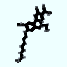 COc1cc2c(cc1OCCCCCN=NN)CN(CC(C)C)n1cc(C(=O)N=O)c(=O)cc1-2